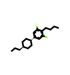 CCCCc1c(F)cc([C@H]2CC[C@H](CCC)CC2)cc1F